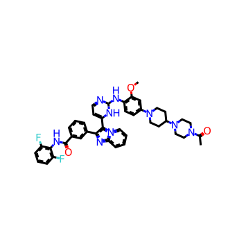 COc1cc(N2CCC(N3CCN(C(C)=O)CC3)CC2)ccc1NC1N=CC=C(c2c(-c3cccc(C(=O)Nc4c(F)cccc4F)c3)nc3ccccn23)N1